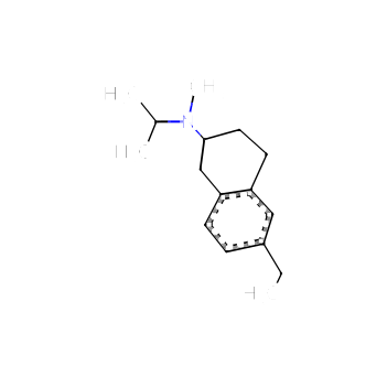 CCc1ccc2c(c1)CCC(N(C)C(C)C)C2